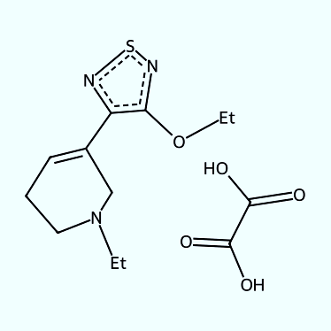 CCOc1nsnc1C1=CCCN(CC)C1.O=C(O)C(=O)O